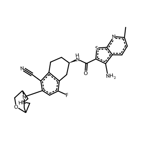 Cc1ccc2c(N)c(C(=O)N[C@@H]3CCc4c(C#N)c(N5CC6CNCC5CO6)cc(F)c4C3)sc2n1